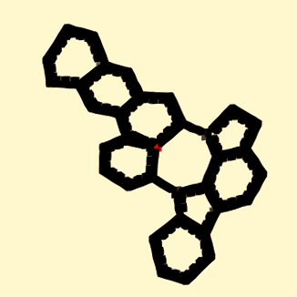 c1ccc(-n2c3ccccc3c3ccc4ccn(-c5ccc6cc7ccccc7cc6c5)c4c32)cc1